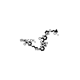 CC(C)(C)OC(=O)N1C[C@@H](CCCCNc2cccc(S(=O)(=O)NC(=O)c3ccc(-n4ccc(OCCC5(C(F)(F)F)CC5)n4)nc3Cl)n2)CC1(C)C